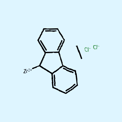 CC.[Cl-].[Cl-].[Zr+2][CH]1c2ccccc2-c2ccccc21